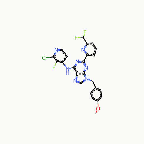 COc1ccc(Cn2cnc3c(Nc4ccnc(Cl)c4F)nc(-c4cccc(C(F)F)n4)nc32)cc1